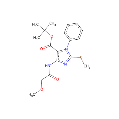 COCC(=O)Nc1nc(SC)n(-c2ccccc2)c1C(=O)OC(C)(C)C